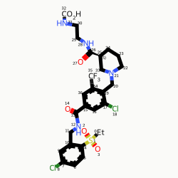 CCS(=O)(=O)c1ccc(Cl)cc1CNC(=O)c1cc(Cl)c(CN2CCC[C@H](C(=O)NCCNC(=O)O)C2)c(C(F)(F)F)c1